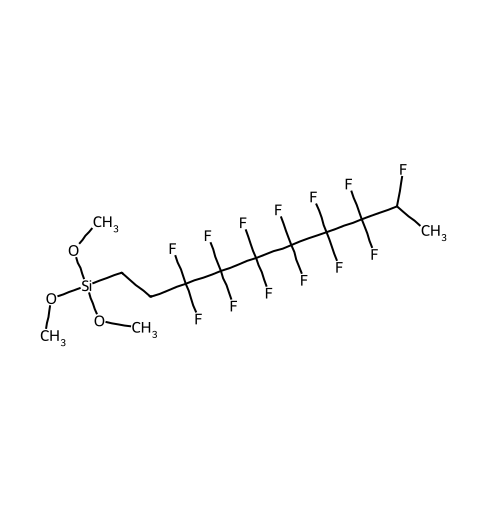 CO[Si](CCC(F)(F)C(F)(F)C(F)(F)C(F)(F)C(F)(F)C(F)(F)C(C)F)(OC)OC